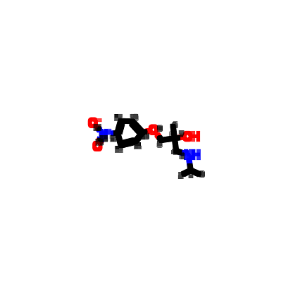 CC(C)NCC(C)(O)COc1ccc([N+](=O)[O-])cc1